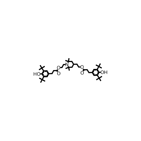 CC(C)(C)c1cc(CCC(=O)OCCC2CC(C)(C)N(CCOC(=O)CCc3cc(C(C)(C)C)c(O)c(C(C)(C)C)c3)C(C)(C)C2)cc(C(C)(C)C)c1O